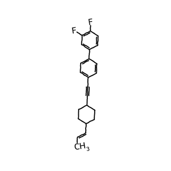 CC=CC1CCC(C#Cc2ccc(-c3ccc(F)c(F)c3)cc2)CC1